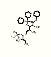 CC=C(C)[C@@H](CC=C(C)[C@@H](O[Si](c1ccccc1)(c1ccccc1)C(C)(C)C)[C@@H](C=O)OCc1ccccc1)O[Si](C)(C)C(C)(C)C